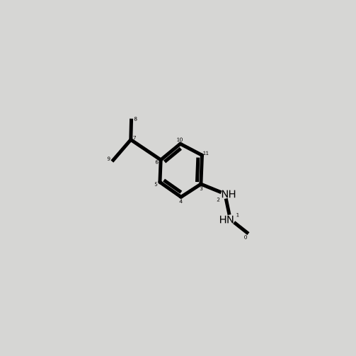 CNNc1ccc(C(C)C)cc1